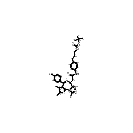 Cc1sc2c(c1C)C(c1ccc(Cl)cc1)=N[C@@H](CC(=O)Nc1ccc(CCCNC(=O)OC(C)(C)C)cc1)c1nnc(C)n1-2